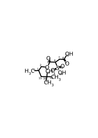 CC(COC(=O)C(CC(=O)O)S(=O)(=O)O)CC(C)(C)C